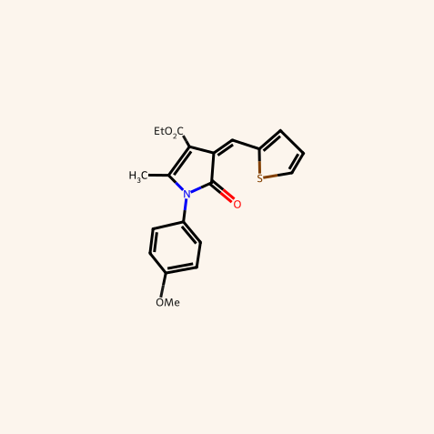 CCOC(=O)C1=C(C)N(c2ccc(OC)cc2)C(=O)C1=Cc1cccs1